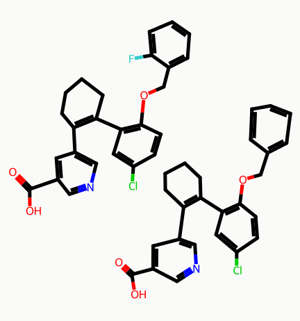 O=C(O)c1cncc(C2=C(c3cc(Cl)ccc3OCc3ccccc3)CCCC2)c1.O=C(O)c1cncc(C2=C(c3cc(Cl)ccc3OCc3ccccc3F)CCCC2)c1